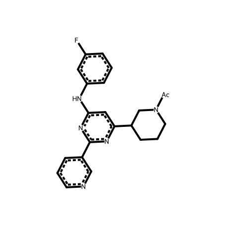 CC(=O)N1CCCC(c2cc(Nc3cccc(F)c3)nc(-c3cccnc3)n2)C1